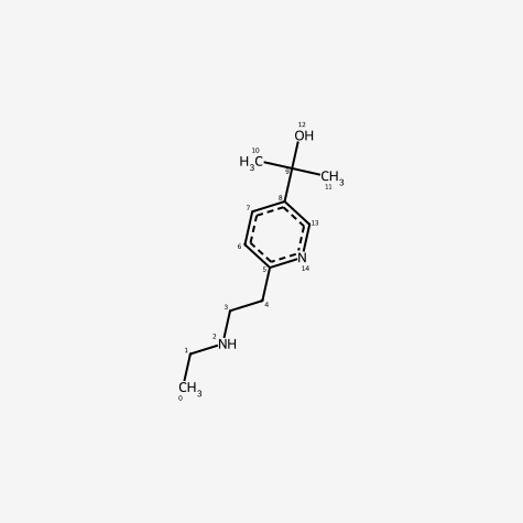 CCNCCc1ccc(C(C)(C)O)cn1